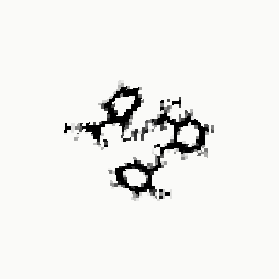 NC(=O)c1ccccc1O.O=C(O)c1ccccc1OCc1ccccc1O